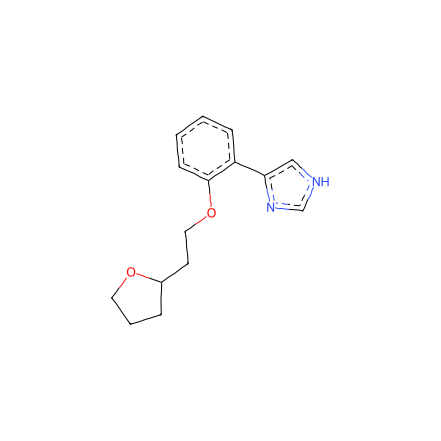 c1ccc(-c2c[nH]cn2)c(OCCC2CCCO2)c1